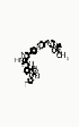 COC(=O)C1(N2CCN(CC3CCN(c4ccc(-c5cnc6[nH]cc(C(=O)c7c(F)ccc(N(N8CC[C@@H](F)C8)[SH](=O)=O)c7F)c6c5)cc4)CC3)CC2)CC1